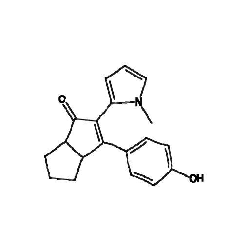 Cn1cccc1C1=C(c2ccc(O)cc2)C2CCCC2C1=O